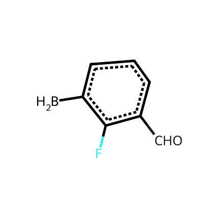 Bc1cccc(C=O)c1F